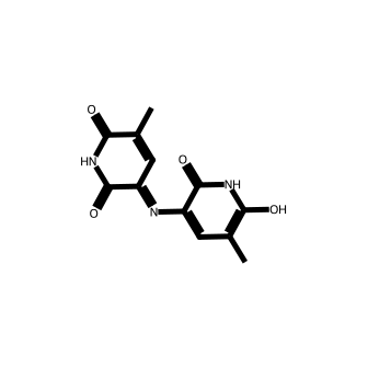 CC1=C/C(=N\c2cc(C)c(O)[nH]c2=O)C(=O)NC1=O